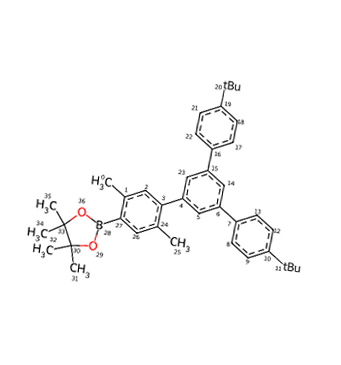 Cc1cc(-c2cc(-c3ccc(C(C)(C)C)cc3)cc(-c3ccc(C(C)(C)C)cc3)c2)c(C)cc1B1OC(C)(C)C(C)(C)O1